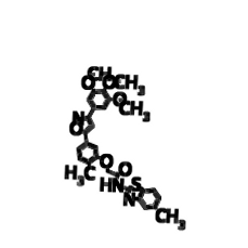 COc1cc(-c2cc(-c3ccc(C)c(OCC(=O)Nc4nc5cc(C)ccc5s4)c3)on2)cc(OC)c1OC